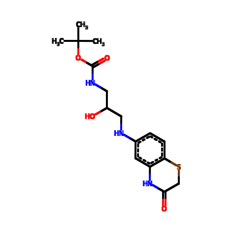 CC(C)(C)OC(=O)NCC(O)CNc1ccc2c(c1)NC(=O)CS2